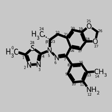 Cc1nnc(N2N=C(c3ccc(N)c(C)c3)c3cc4c(cc3C[C@H]2C)OCO4)s1